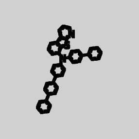 c1ccc(-c2ccc(-c3ccc(N(c4ccc(-c5ccccc5)cc4)c4cccc5c4sc4ncccc45)cc3)cc2)cc1